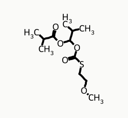 COCCSC(=O)OC(OC(=O)C(C)C)C(C)C